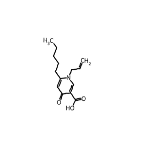 C=CCn1cc(C(=O)O)c(=O)cc1CCCCC